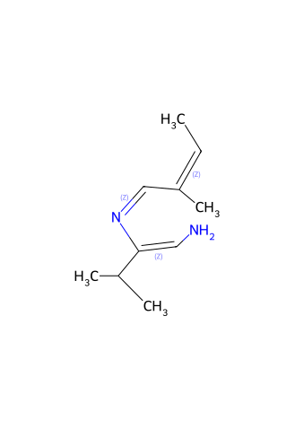 C\C=C(C)/C=N\C(=C/N)C(C)C